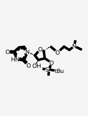 CN(C)CCOC[C@H]1O[C@@H](n2ccc(=O)[nH]c2=O)[C@@H](O)C1O[Si](C)(C)C(C)(C)C